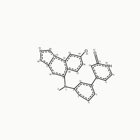 CN(c1cccc(-c2cc[nH]c(=O)c2)c1)c1nc2nncn2c2cc(Cl)ccc12